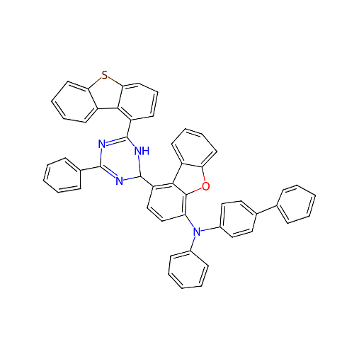 c1ccc(C2=NC(c3ccc(N(c4ccccc4)c4ccc(-c5ccccc5)cc4)c4oc5ccccc5c34)NC(c3cccc4sc5ccccc5c34)=N2)cc1